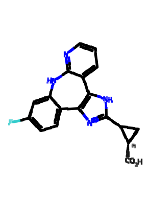 O=C(O)[C@@H]1CC1c1nc2c([nH]1)-c1cccnc1Nc1cc(F)ccc1-2